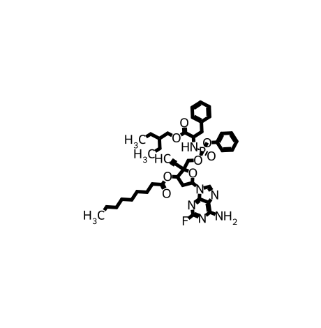 C#CC1(CO[P@@](=O)(NC(Cc2ccccc2)C(=O)OCC(CC)CC)Oc2ccccc2)OC(n2cnc3c(N)nc(F)nc32)CC1OC(=O)CCCCCCCC